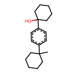 CC1(c2ccc(C3(O)CCCCC3)cc2)CCCCC1